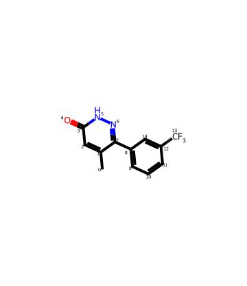 Cc1cc(=O)[nH]nc1-c1cccc(C(F)(F)F)c1